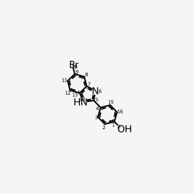 Oc1ccc(-c2nc3cc(Br)ccc3[nH]2)cc1